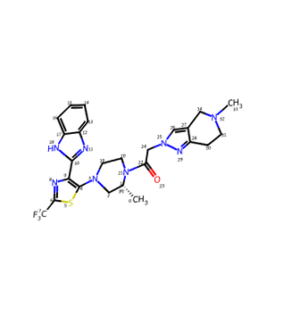 C[C@@H]1CN(c2sc(C(F)(F)F)nc2-c2nc3ccccc3[nH]2)CCN1C(=O)Cn1cc2c(n1)CCN(C)C2